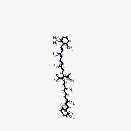 CC1=C(/C=C/C(C)=C/C=C/C(C)=C/C/C(C(=O)O)=C(/C/C=C(C)/C=C/C=C(C)/C=C/C2=C(C)CCCC2(C)C)C(=O)O)C(C)(C)CCC1